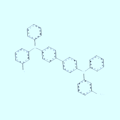 COc1cccc(N(c2ccccc2)c2ccc(-c3ccc(N(c4ccccc4)c4cccc(O)c4)cc3)cc2)c1